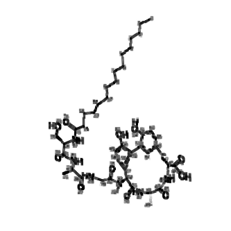 CCCCCCCCCCCCCCCC(=O)N[C@H](CO)C(=O)N[C@H](C)C(=O)NCC(=O)N(C)[C@@H]1C(=O)N[C@@H](C)C(=O)N[C@H](C(=O)O)Cc2ccc(O)c(c2)-c2cc1ccc2O